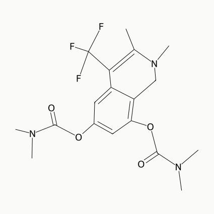 CC1=C(C(F)(F)F)c2cc(OC(=O)N(C)C)cc(OC(=O)N(C)C)c2CN1C